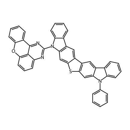 c1ccc(-n2c3ccccc3c3cc4c(cc32)sc2cc3c(cc24)c2ccccc2n3-c2nc3c4c(cccc4n2)Oc2ccccc2-3)cc1